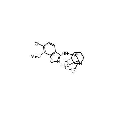 COc1c(Cl)ccc2c(N[C@H]3C4CCN(CC4)C3(C)C)noc12